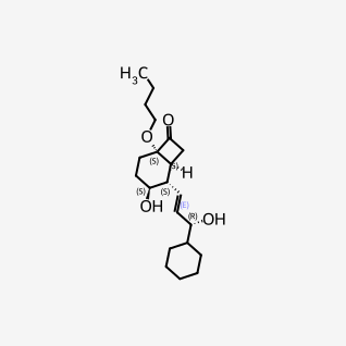 CCCCO[C@@]12CC[C@H](O)[C@@H](/C=C/[C@H](O)C3CCCCC3)[C@@H]1CC2=O